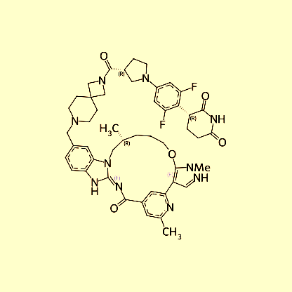 CN/C1=C(\C=N)c2cc(cc(C)n2)C(=O)/N=C2\Nc3ccc(CN4CCC5(CC4)CN(C(=O)[C@@H]4CCN(c6cc(F)c([C@H]7CCC(=O)NC7=O)c(F)c6)C4)C5)cc3N2C[C@H](C)CCCO1